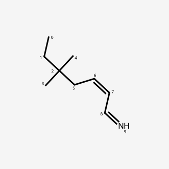 CCC(C)(C)C/C=C\C=N